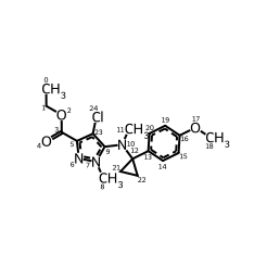 CCOC(=O)c1nn(C)c(N(C)C2(c3ccc(OC)cc3)CC2)c1Cl